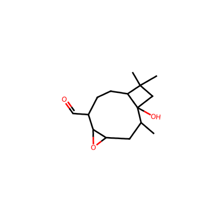 CC1CC2OC2C(C=O)CCC2C(C)(C)CC12O